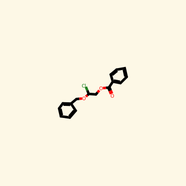 O=C(OCC(Cl)OCc1ccccc1)c1ccccc1